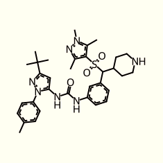 Cc1ccc(-n2nc(C(C)(C)C)cc2NC(=O)Nc2cccc(C(C3CCNCC3)S(=O)(=O)c3c(C)nn(C)c3C)c2)cc1